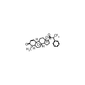 CN1C(=O)C=C[C@]2(C)[C@H]3CC[C@]4(C)[C@@H](C(=O)C(c5ccccc5)C(F)(F)F)CC[C@H]4[C@@H]3CC[C@@H]12